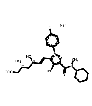 CC(C)c1c(C(=O)N(C)C2CCCCC2)nn(-c2ccc(F)cc2)c1C=C[C@H](O)C[C@@H](O)CC(=O)[O-].[Na+]